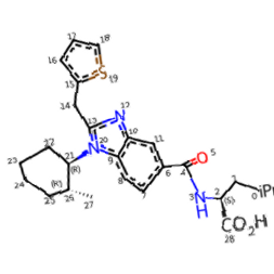 CC(C)C[C@H](NC(=O)c1ccc2c(c1)nc(Cc1cccs1)n2[C@@H]1CCCC[C@H]1C)C(=O)O